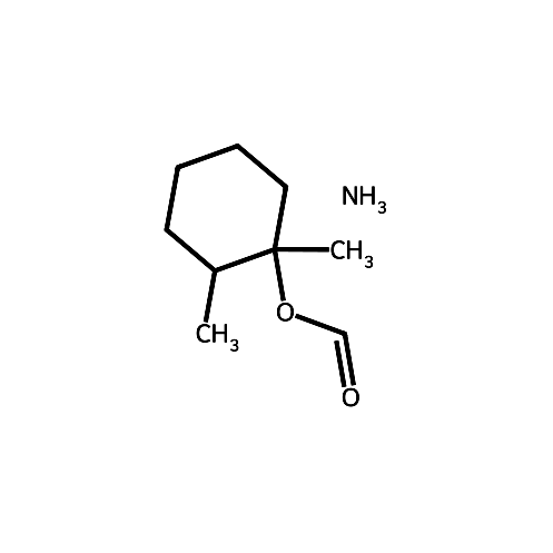 CC1CCCCC1(C)OC=O.N